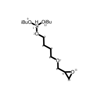 CC(C)CO[SiH](OCCCCOCC1CO1)OCC(C)C